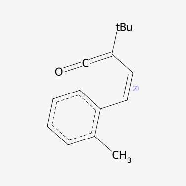 Cc1ccccc1/C=C\C(=C=O)C(C)(C)C